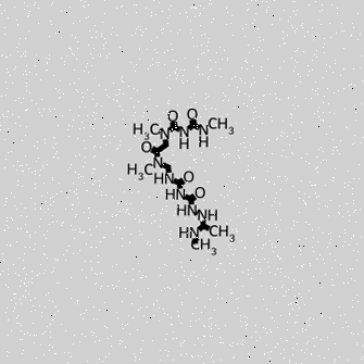 CNC(=O)NC(=O)N(C)CC(=O)N(C)CNC(=O)NC(=O)NNC(C)NC